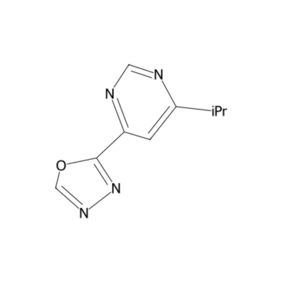 CC(C)c1cc(-c2nnco2)ncn1